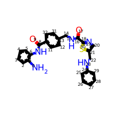 Nc1ccccc1NC(=O)c1ccc(CNC(=O)c2ncc(CNc3ccccc3)s2)cc1